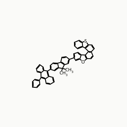 CC1(C)c2cc(-c3ccc4c(c3)oc3ccc5ccc6sc7ccccc7c6c5c34)ccc2-c2ccc(-c3c4ccccc4c(-c4ccccc4)c4ccccc34)cc21